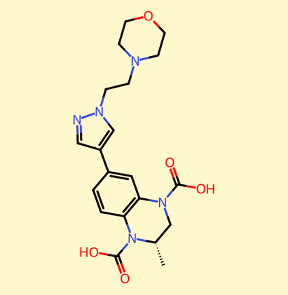 C[C@H]1CN(C(=O)O)c2cc(-c3cnn(CCN4CCOCC4)c3)ccc2N1C(=O)O